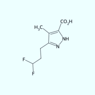 Cc1c(CCC(F)F)n[nH]c1C(=O)O